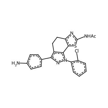 CC(=O)Nc1nc2c(s1)-c1c(c(-c3ccc(N)cc3)nn1-c1ccccc1Cl)CC2